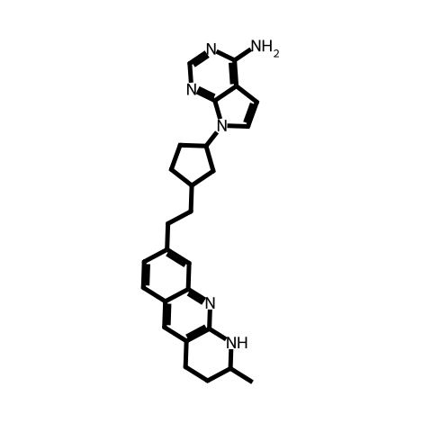 CC1CCc2cc3ccc(CCC4CCC(n5ccc6c(N)ncnc65)C4)cc3nc2N1